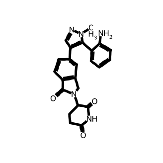 Cn1ncc(-c2ccc3c(c2)CN(C2CCC(=O)NC2=O)C3=O)c1-c1ccccc1N